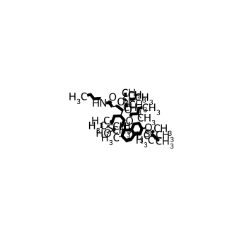 CCCCNC(=O)C[C@@H](C[C@@H](CC[C@@H]1[C@@H]2C(=C[C@H](O[Si](C)(C)C(C)(C)C)C[C@@H]2OC(=O)[C@@H](C)CC)C=C[C@@H]1C)CC(C)(C)[Si](C)(C)O)O[Si](C)(C)C(C)(C)C